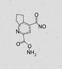 NOC(=O)c1cc(C(=O)N=O)c2c(n1)CCC2